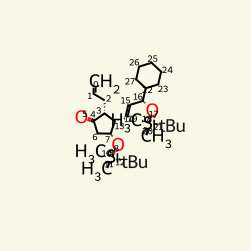 C=CC[C@H]1C(=O)C[C@@H](O[Si](C)(C)C(C)(C)C)[C@H]1C=C[C@@H](O[Si](C)(C)C(C)(C)C)C1CCCCC1